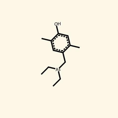 CC[As](CC)Cc1cc(C)c(O)cc1C